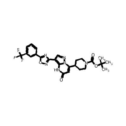 CC(C)(C)OC(=O)N1CCC(c2cc(=O)[nH]c3c(-c4noc(-c5cccc(C(F)(F)F)c5)n4)cnn23)CC1